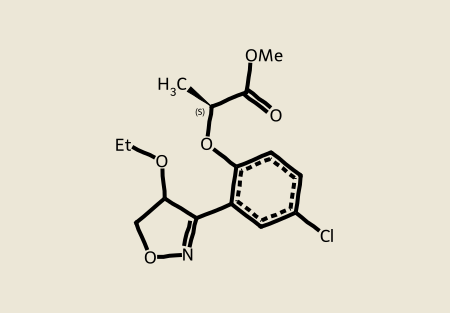 CCOC1CON=C1c1cc(Cl)ccc1O[C@@H](C)C(=O)OC